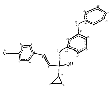 OC(C=Cc1ccc(Cl)cc1)(Cc1cccc(Oc2ccccc2)c1)C1CC1